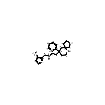 Cc1ccsc1CNCCC1(c2ccccn2)CCOC2(CCOC2)C1